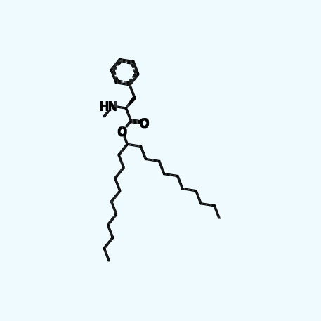 CCCCCCCCCCC(CCCCCCCCCC)OC(=O)[C@H](Cc1ccccc1)NC